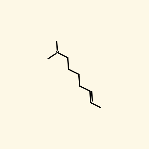 CC=CCCCCN(C)C